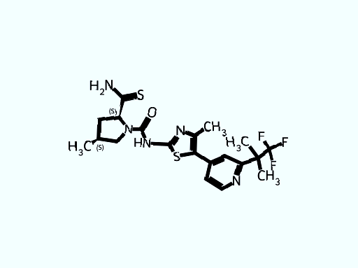 Cc1nc(NC(=O)N2C[C@@H](C)C[C@H]2C(N)=S)sc1-c1ccnc(C(C)(C)C(F)(F)F)c1